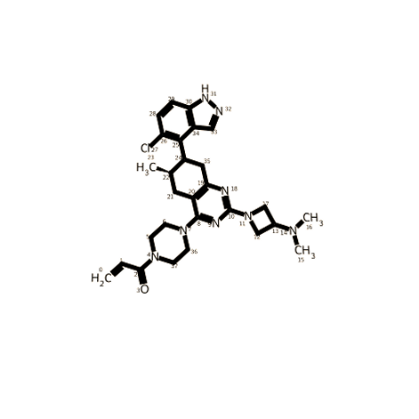 C=CC(=O)N1CCN(c2nc(N3CC(N(C)C)C3)nc3c2C[C@@H](C)C(c2c(Cl)ccc4[nH]ncc24)C3)CC1